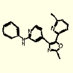 Cc1cccc(-c2oc(C)nc2-c2ccnc(Nc3ccccc3)c2)n1